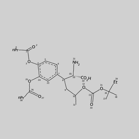 CCCC(=O)Oc1ccc(C(CC(C)OC(=O)OC(C)(C)CC)[C@H](N)C(=O)O)cc1OC(=O)CCC